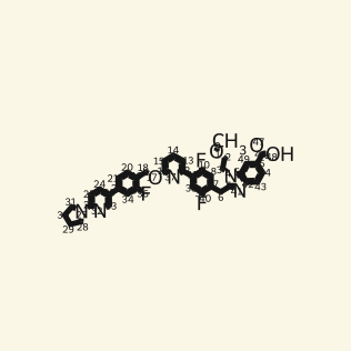 COCCn1c(Cc2cc(F)c(-c3cccc(OCc4ccc(-c5ccc(N6CCCC6)nc5)cc4F)n3)cc2F)nc2ccc(C(=O)O)cc21